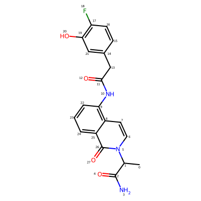 CC(C(N)=O)n1ccc2c(NC(=O)Cc3ccc(F)c(O)c3)cccc2c1=O